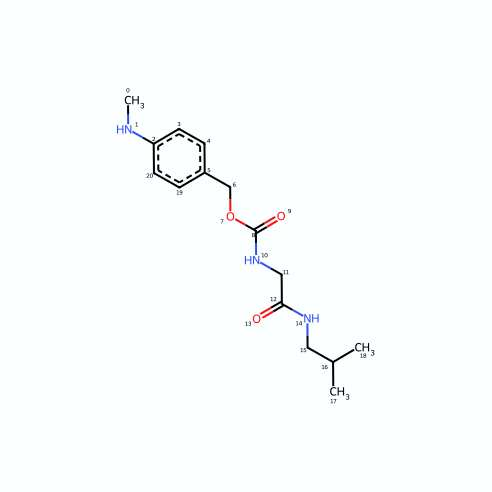 CNc1ccc(COC(=O)NCC(=O)NCC(C)C)cc1